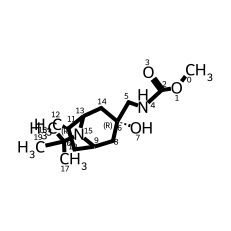 COC(=O)NC[C@@]1(O)CC2C[C@@H](C)C(C1)N2C(C)(C)C